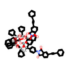 C[Si](O[Si]12O[Si]3(c4ccccc4)O[Si]4(c5ccccc5)O[Si](c5ccccc5)(O1)O[Si]1(c5ccccc5)O[Si](c5ccccc5)(O2)O[Si](c2ccccc2)(O3)O[Si](c2ccccc2)(O4)O1)(c1ccc(N2C(=O)c3ccc(C#Cc4ccccc4)cc3C2=O)cc1)c1ccc(N2C(=O)c3ccc(C#Cc4ccccc4)cc3C2=O)cc1